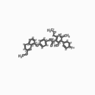 COCc1nc(C)c(-c2ccc(F)cc2)c(O)c1C(=O)Nc1ccc(Oc2ccnc3ccc(OC)nc23)cc1